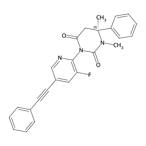 CN1C(=O)N(c2ncc(C#Cc3ccccc3)cc2F)C(=O)C[C@@]1(C)c1ccccc1